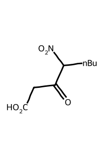 CCCCC(C(=O)CC(=O)O)[N+](=O)[O-]